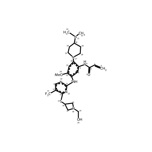 C=CC(=O)Nc1cc(Nc2ncc(C(F)(F)F)c(SC3CN(CO)C3)n2)c(OC)cc1N1CCC(N(C)C)CC1